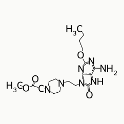 CCCCOc1nc(N)c2[nH]c(=O)n(CCN3CCN(CC(=O)OC)CC3)c2n1